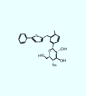 Cc1ccc([C@@H]2O[C@H](CO)[C@@H](O)[C@H](O)[C@H]2O)cc1Cc1ccc(-c2ccccc2)s1